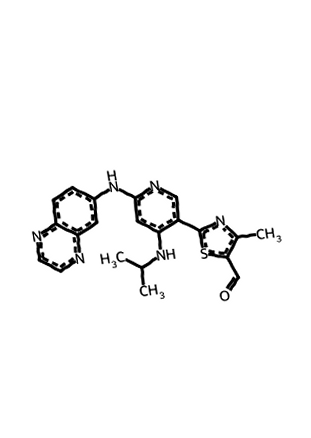 Cc1nc(-c2cnc(Nc3ccc4nccnc4c3)cc2NC(C)C)sc1C=O